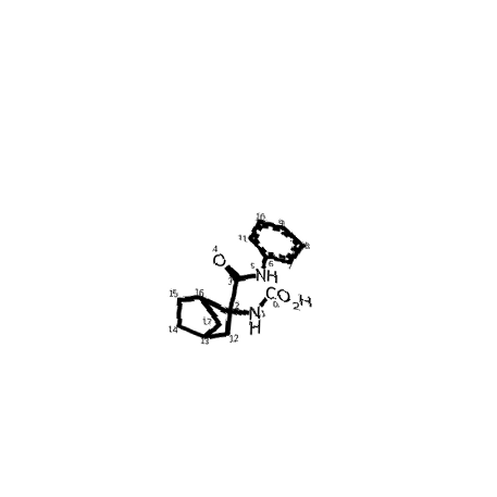 O=C(O)NC1(C(=O)Nc2ccccc2)CC2CCC1C2